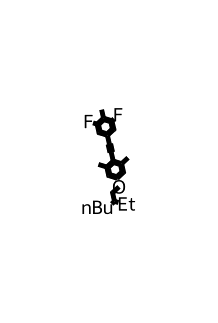 CCCCC(CC)COc1cc(C)c(C#Cc2cc(F)c(C)c(F)c2)c(C)c1